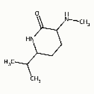 CNC1CCC(C(C)C)NC1=O